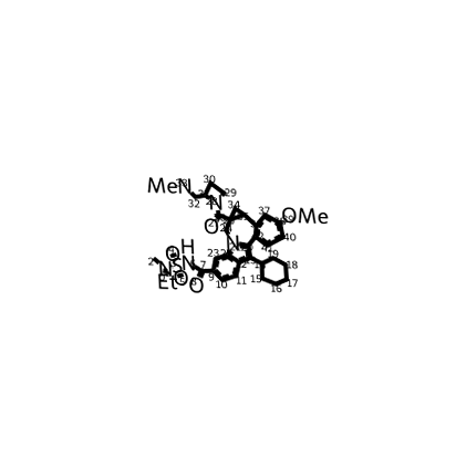 CCN(C)S(=O)(=O)NC(=O)c1ccc2c(C3CCCCC3)c3n(c2c1)CC1(C(=O)N2CCC2CNC)CC1c1cc(OC)ccc1-3